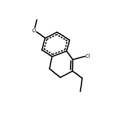 CCC1=C(Cl)c2ccc(OC)cc2CC1